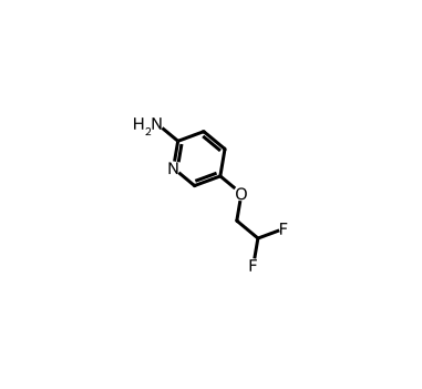 Nc1ccc(OCC(F)F)cn1